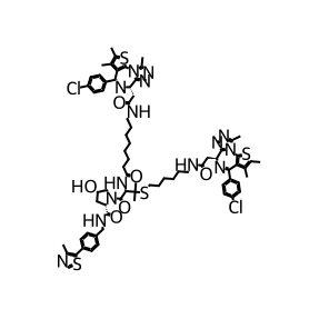 Cc1ncsc1-c1ccc(CNC(=O)[C@@H]2C[C@@H](O)CN2C(=O)[C@@H](NC(=O)CCCCCCCNC(=O)C[C@@H]2N=C(c3ccc(Cl)cc3)c3c(sc(C)c3C)-n3c(C)nnc32)C(C)(C)SCCCCCCNC(=O)C[C@@H]2N=C(c3ccc(Cl)cc3)c3c(sc(C)c3C)-n3c(C)nnc32)cc1